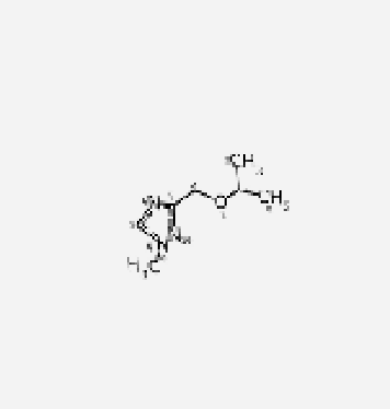 CC(C)OCc1ncn(C)n1